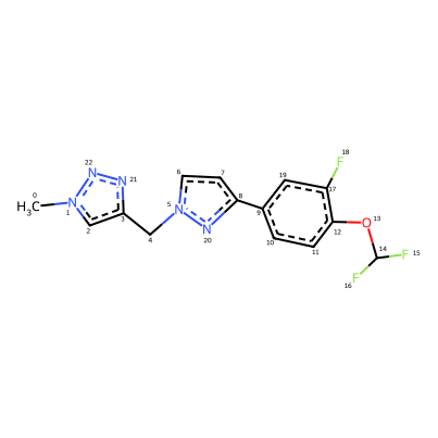 Cn1cc(Cn2ccc(-c3ccc(OC(F)F)c(F)c3)n2)nn1